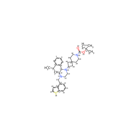 CC(C)c1ccccc1C1CN(Cc2cccc3sccc23)CCN1C1CC2(CCN(C(=O)OC(C)(C)C)CC2)C1